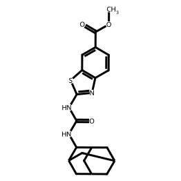 COC(=O)c1ccc2nc(NC(=O)NC3C4CC5CC(C4)CC3C5)sc2c1